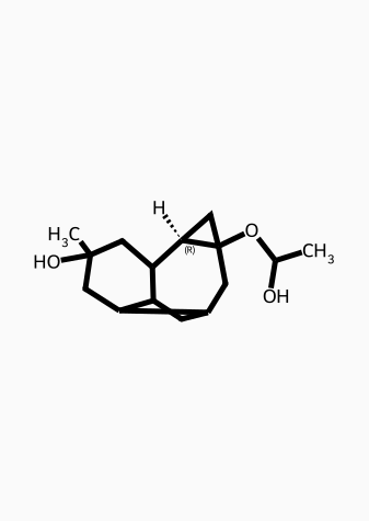 CC(O)OC12CC3CC4C3CC(C)(O)CC4[C@H]1C2